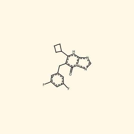 O=c1c(Cc2cc(F)cc(F)c2)c(C2CCC2)[nH]c2ncnn12